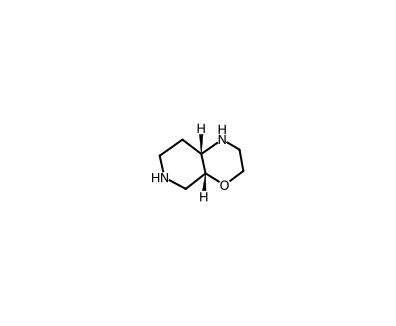 C1C[C@@H]2NCCO[C@@H]2CN1